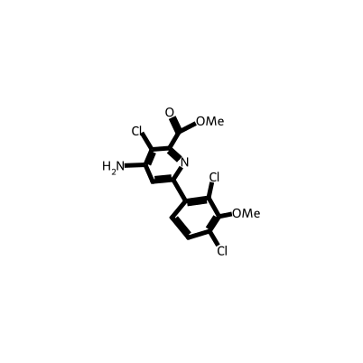 COC(=O)c1nc(-c2ccc(Cl)c(OC)c2Cl)cc(N)c1Cl